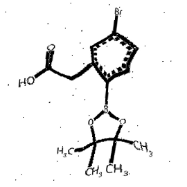 CC1(C)OB(c2ccc(Br)cc2CC(=O)O)OC1(C)C